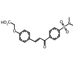 CN(C)S(=O)(=O)c1ccc(C(=O)/C=C/c2ccc(OCC(=O)O)cc2)cc1